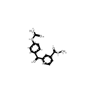 COC(=O)c1ccnc(C(=O)c2ccc(OC(C)=O)cc2)c1